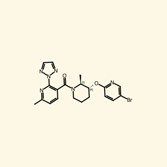 Cc1ccc(C(=O)N2CCC[C@@H](Oc3ccc(Br)cn3)[C@@H]2C)c(-n2nccn2)n1